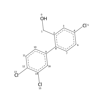 OCc1cc(Cl)ccc1-c1ccc(Cl)c(Cl)c1